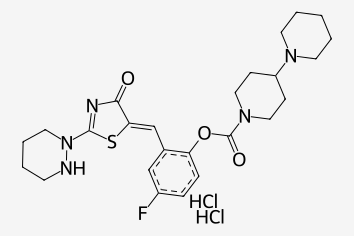 Cl.Cl.O=C1N=C(N2CCCCN2)SC1=Cc1cc(F)ccc1OC(=O)N1CCC(N2CCCCC2)CC1